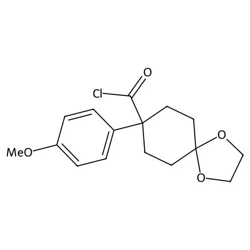 COc1ccc(C2(C(=O)Cl)CCC3(CC2)OCCO3)cc1